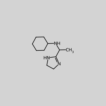 CC(NC1CCCCC1)C1=NCCN1